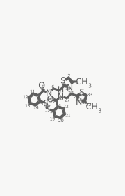 Cc1csc(CCNC(=O)c2ccccc2SSc2ccccc2C(=O)NCCc2nc(C)cs2)n1